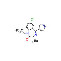 CC[C@H](C)C1N=C(c2ccncc2)c2cc(Cl)ccc2N(CC(=O)O)C1=O